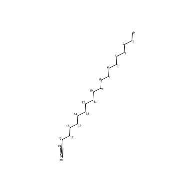 CCCCCCCCCCCCCCCCCC[CH]C#N